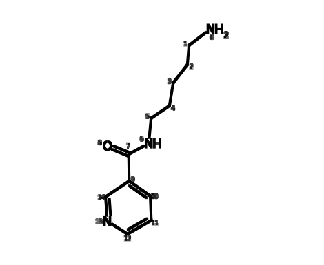 NCCCCCNC(=O)c1cccnc1